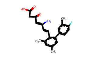 Cc1cc(C)c(C=CC(N)=CC(=O)CC(=O)O)c(-c2ccc(F)c(C)c2)c1